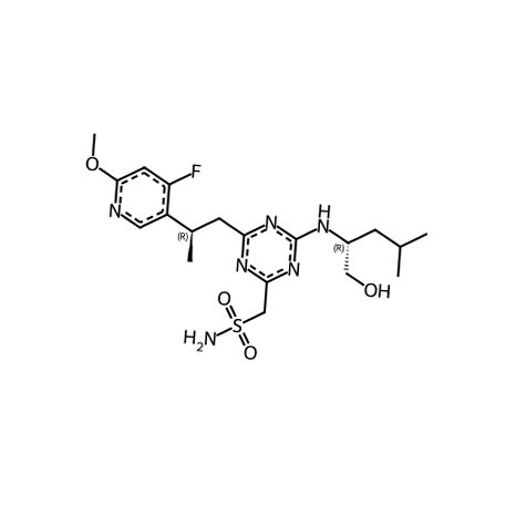 COc1cc(F)c([C@H](C)Cc2nc(CS(N)(=O)=O)nc(N[C@@H](CO)CC(C)C)n2)cn1